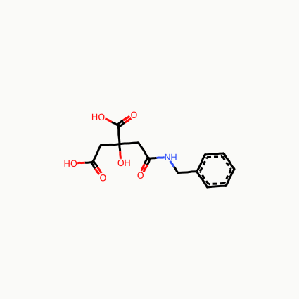 O=C(O)CC(O)(CC(=O)NCc1ccccc1)C(=O)O